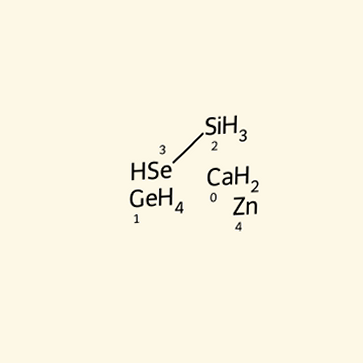 [CaH2].[GeH4].[SiH3][SeH].[Zn]